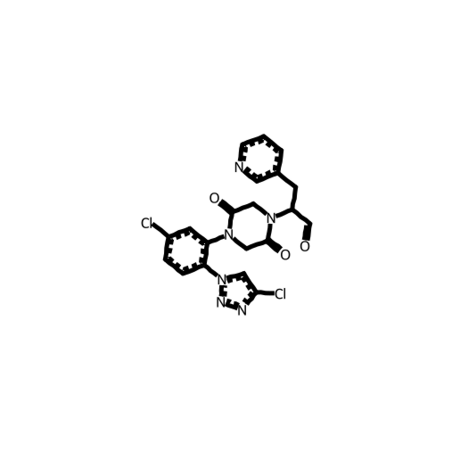 O=CC(Cc1cccnc1)N1CC(=O)N(c2cc(Cl)ccc2-n2cc(Cl)nn2)CC1=O